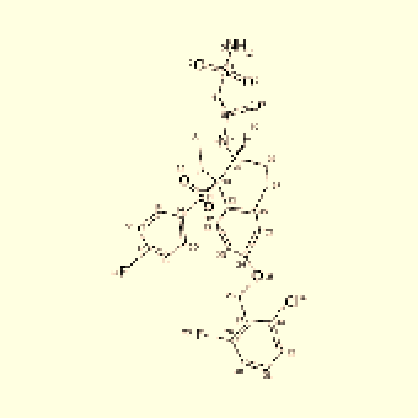 NS(=O)(=O)CC(=O)N1CC[C@@]2(S(=O)(=O)c3ccc(F)cc3)c3ccc(OCc4c(F)cccc4Cl)cc3CC[C@@H]12